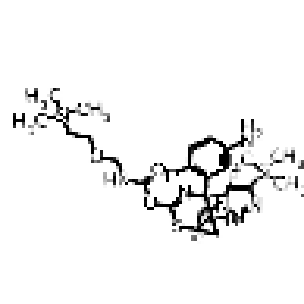 C[Si](C)(C)CCOCNC(=O)OC1=N[C@](CF)(c2cc(N)ccc2F)[C@@H]2C[C@]2(Cn2cc([Si](C)(C)C)nn2)S1